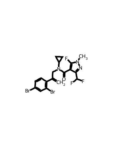 C=C(CN(C(=O)c1c(C(F)F)nn(C)c1F)C1CC1)c1ccc(Br)cc1Br